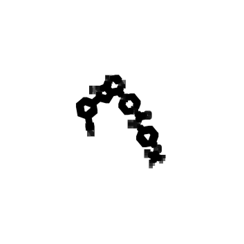 N#Cc1cccc(-c2cc3c(N4CCN(C(=O)Nc5ccc(OC(F)(F)F)cc5)CC4)ncnc3[nH]2)c1